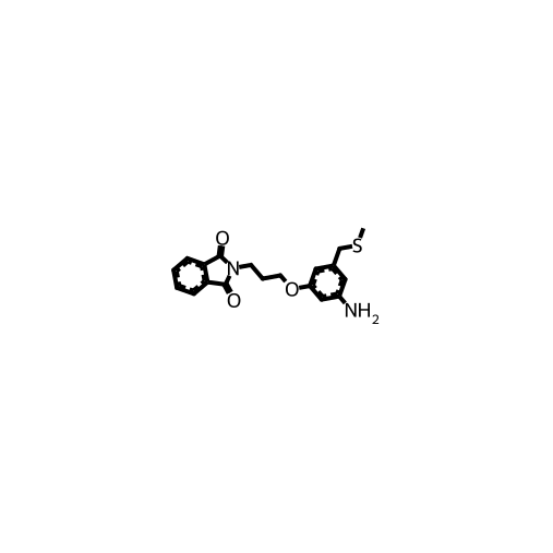 CSCc1cc(N)cc(OCCCN2C(=O)c3ccccc3C2=O)c1